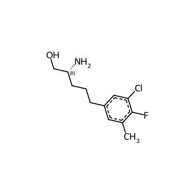 Cc1cc(CCC[C@@H](N)CO)cc(Cl)c1F